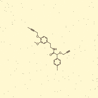 C#CCOC(C(=O)NCCc1ccc(OCC#CC)c(OC)c1)c1ccc(I)cc1